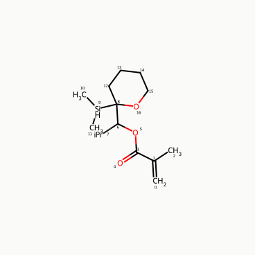 C=C(C)C(=O)OC(C(C)C)C1([SiH](C)C)CCCCO1